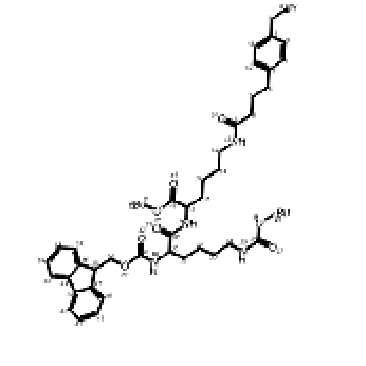 CC(C)Cc1ccc(CCCC(=O)NCCCCC(NC(=O)C(CCCCNC(=O)OC(C)(C)C)NC(=O)OCC2c3ccccc3-c3ccccc32)C(=O)OC(C)(C)C)cc1